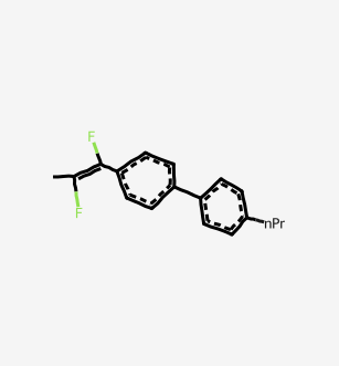 CCCc1ccc(-c2ccc(/C(F)=C(/C)F)cc2)cc1